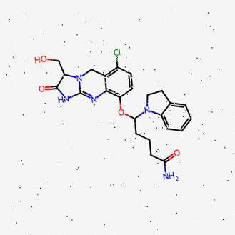 NC(=O)CCCC(Oc1ccc(Cl)c2c1N=C1NC(=O)C(CO)N1C2)N1CCc2ccccc21